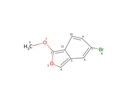 COc1occ2cc(Br)ccc12